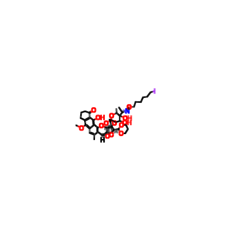 COc1c2c(c(O)c3c4c(c(C)cc13)[C@@H]1O[C@@]3(C5OCCCO5)O[C@@H]1[C@@](OC1CC(O)C(O)(/C(C)=N/OCCCCCCI)C(C)O1)(O4)[C@@]31CO1)C(=O)CCC2